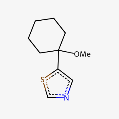 COC1(c2cncs2)CCCCC1